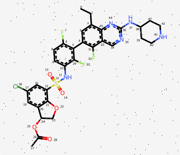 CCc1cc(-c2c(F)ccc(NS(=O)(=O)c3cc(Cl)cc4c3OC[C@H]4OC(C)=O)c2F)c(F)c2cnc(NC3CCNCC3)nc12